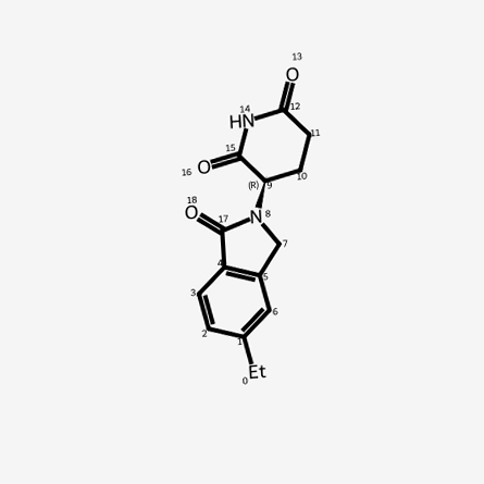 CCc1ccc2c(c1)CN([C@@H]1CCC(=O)NC1=O)C2=O